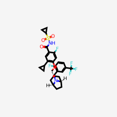 O=C(NS(=O)(=O)C1CC1)c1cc(C2CC2)c(OC[C@@H]2C[C@H]3CC[C@@H](C2)N3Cc2cc(C(F)(F)F)ccc2F)cc1F